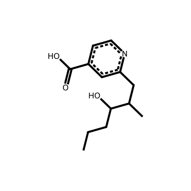 CCCC(O)C(C)Cc1cc(C(=O)O)ccn1